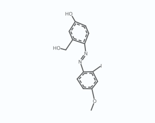 COc1ccc(N=Nc2ccc(O)cc2CO)c(I)c1